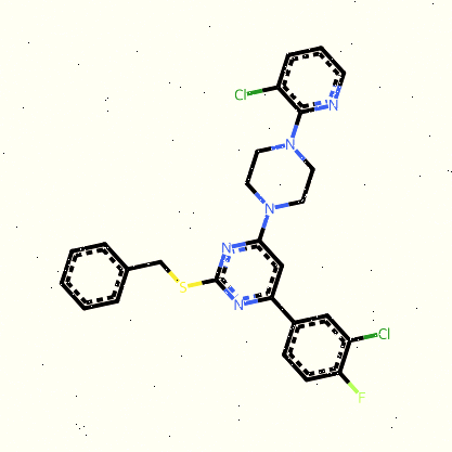 Fc1ccc(-c2cc(N3CCN(c4ncccc4Cl)CC3)nc(SCc3ccccc3)n2)cc1Cl